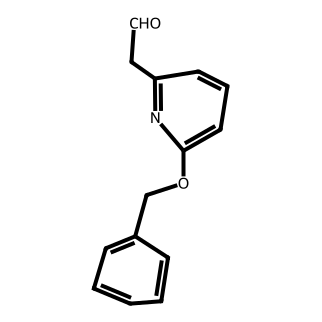 O=CCc1cccc(OCc2ccccc2)n1